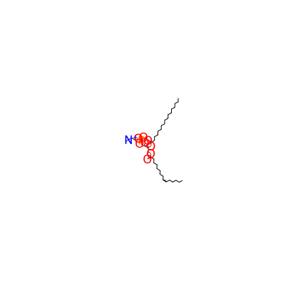 CCCCC/C=C\CCCCCCCC(=O)OC[C@H](COP(=O)([O-])OCC[N+](C)(C)C)OC(=O)CCCCCCCCCCCCCCCC